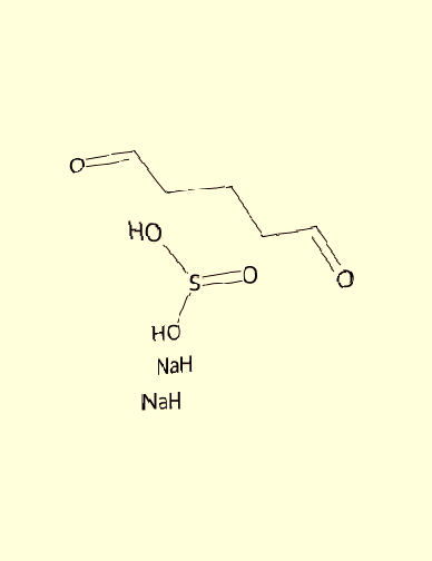 O=CCCCC=O.O=S(O)O.[NaH].[NaH]